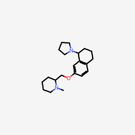 CN1CCCCC1COc1ccc2c(c1)C(N1CCCC1)CCC2